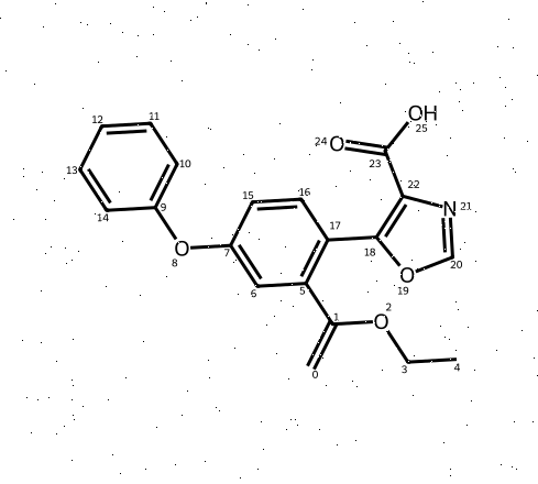 C=C(OCC)c1cc(Oc2ccccc2)ccc1-c1ocnc1C(=O)O